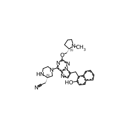 CN1CCC[C@H]1COc1nc(N2CCN[C@@H](CC#N)C2)c2ncc(Cc3c(O)ccc4ccccc34)n2n1